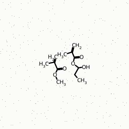 C=C(C)C(=O)OC.C=C(C)C(=O)OC(O)CC